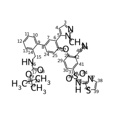 Cn1nccc1-c1cc(-c2ccccc2CNC(=O)OC(C)(C)C)ccc1Oc1ccc(S(=O)(=O)Nc2nccs2)cc1C#N